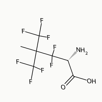 CC(C(F)(F)F)(C(F)(F)F)C(F)(F)[C@H](N)C(=O)O